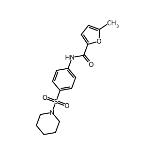 Cc1ccc(C(=O)Nc2ccc(S(=O)(=O)N3CCCCC3)cc2)o1